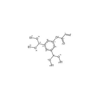 C=CC(=O)Oc1cc(C(OCC)OCC)cc(C(OCC)OCC)c1